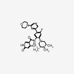 C[C@@H]1CN(c2cc(F)c(-c3cncc(N4CCOCC4)n3)cc2NC(=O)c2c[nH]c(=O)cc2C(F)(F)F)C[C@H](C)N1C